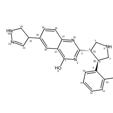 Oc1nc([C@@H]2CNC[C@H]2c2ccccc2F)nc2ccc(C3C=NNC3)cc12